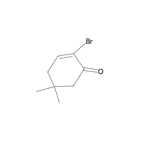 CC1(C)CC=C(Br)C(=O)C1